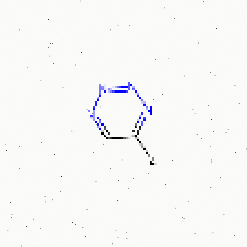 [Zr][c]1cnnnn1